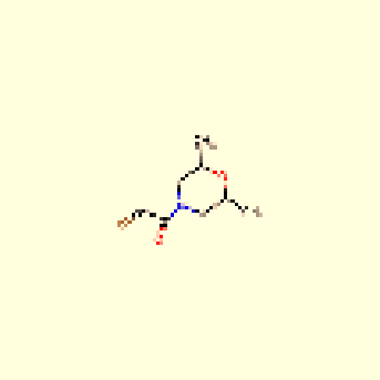 CC1CN(C(=O)C=S)C[C@@H](C)O1